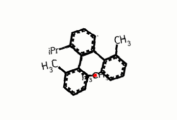 Cc1cccc(C)c1-c1[c]ccc(C(C)C)c1-c1c(C)cccc1C